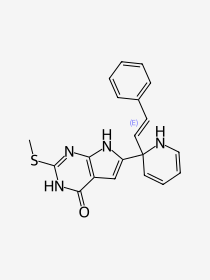 CSc1nc2[nH]c(C3(/C=C/c4ccccc4)C=CC=CN3)cc2c(=O)[nH]1